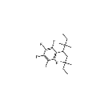 CCC(C)(C)CC(c1c(F)c(F)c(F)c(F)c1F)C(C)(C)CC